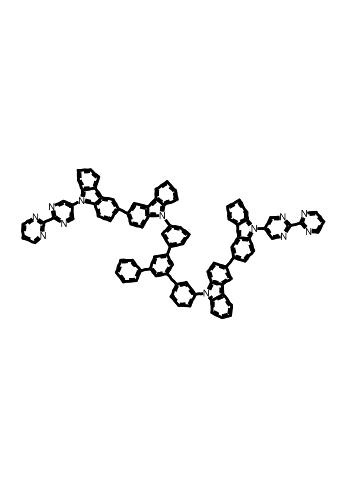 c1ccc(-c2cc(-c3cccc(-n4c5ccccc5c5cc(-c6ccc7c(c6)c6ccccc6n7-c6cnc(-c7ncccn7)nc6)ccc54)c3)cc(-c3cccc(-n4c5ccccc5c5cc(-c6ccc7c(c6)c6ccccc6n7-c6cnc(-c7ncccn7)nc6)ccc54)c3)c2)cc1